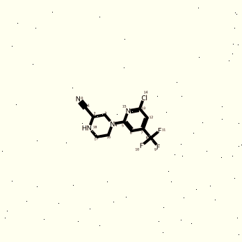 N#CC1CN(c2cc(C(F)(F)F)cc(Cl)n2)CCN1